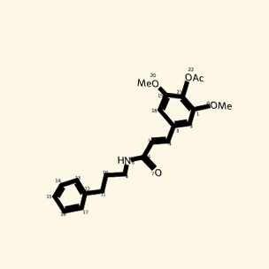 COc1cc(C=CC(=O)NCCCc2ccccc2)cc(OC)c1OC(C)=O